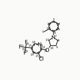 Cc1ccccc1N1CCC(Oc2ncc(C(F)(F)F)cc2Cl)C1